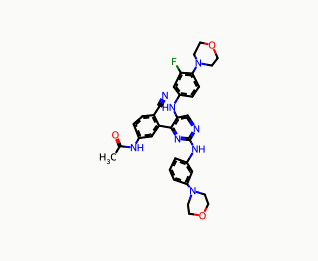 CC(=O)Nc1ccc(C#N)c(-c2nc(Nc3cccc(N4CCOCC4)c3)ncc2Nc2ccc(N3CCOCC3)c(F)c2)c1